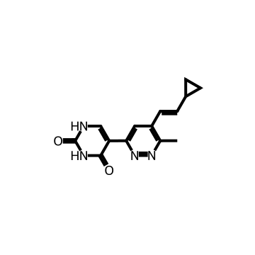 Cc1nnc(-c2c[nH]c(=O)[nH]c2=O)cc1C=CC1CC1